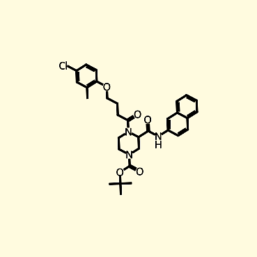 Cc1cc(Cl)ccc1OCCCC(=O)N1CCN(C(=O)OC(C)(C)C)CC1C(=O)Nc1ccc2ccccc2c1